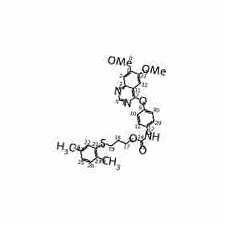 COc1cc2ncnc(Oc3ccc(NC(=O)OCCCSc4cc(C)ccc4C)cc3)c2cc1OC